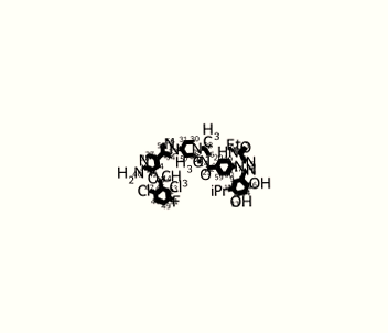 CCNC(=O)c1nnc(-c2cc(C(C)C)c(O)cc2O)n1-c1ccc(C(=O)N(C)CC(C)N2CCC(n3cc(-c4cnc(N)c(O[C@H](C)c5c(Cl)ccc(F)c5Cl)c4)cn3)CC2)cc1